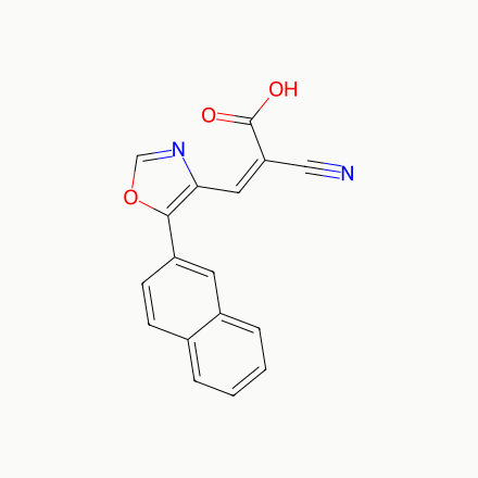 N#C/C(=C/c1ncoc1-c1ccc2ccccc2c1)C(=O)O